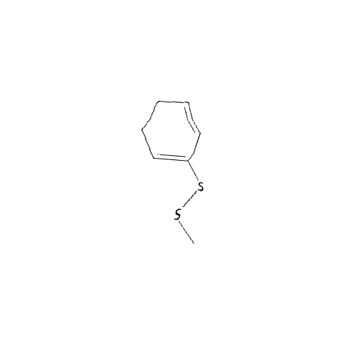 CSSC1=CCCC=C1